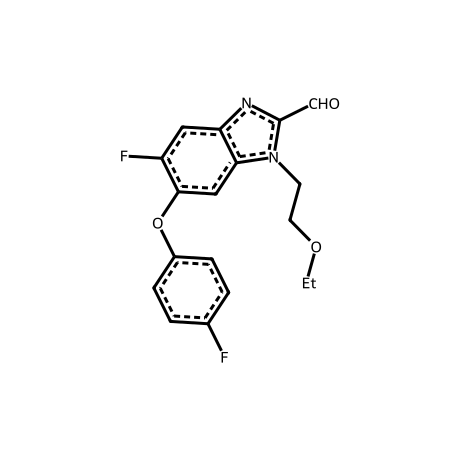 CCOCCn1c(C=O)nc2cc(F)c(Oc3ccc(F)cc3)cc21